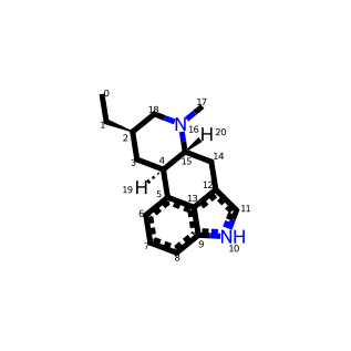 CC[C@@H]1C[C@@H]2c3cccc4[nH]cc(c34)C[C@H]2N(C)C1